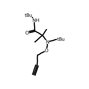 C#CCON(C(C)(C)C)C(C)(C)C(=O)NC(C)(C)C